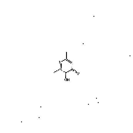 CC1=CC(=O)C(O)C(C)=N1